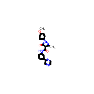 COc1ccc(N2N=C(C)C(C(=O)Nc3cccc(-c4cnccn4)c3)C2=O)cc1